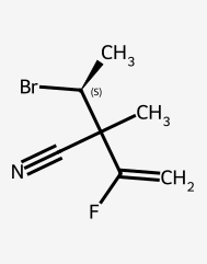 C=C(F)C(C)(C#N)[C@H](C)Br